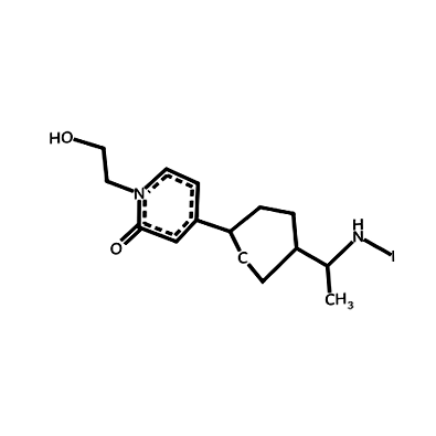 CC(NI)C1CCC(c2ccn(CCO)c(=O)c2)CC1